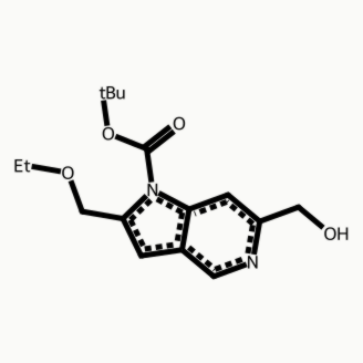 CCOCc1cc2cnc(CO)cc2n1C(=O)OC(C)(C)C